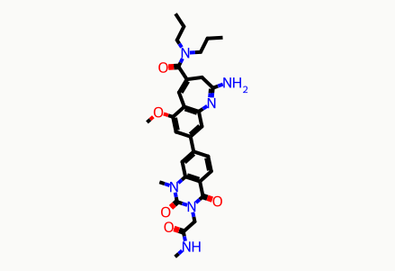 CCCN(CCC)C(=O)C1=Cc2c(cc(-c3ccc4c(=O)n(CC(=O)NC)c(=O)n(C)c4c3)cc2OC)N=C(N)C1